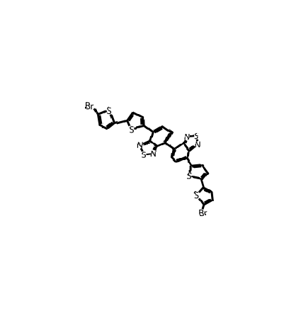 Brc1ccc(-c2ccc(-c3ccc(-c4ccc(-c5ccc(-c6ccc(Br)s6)s5)c5nsnc45)c4nsnc34)s2)s1